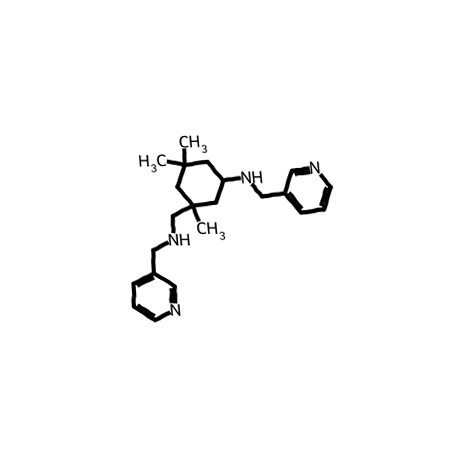 CC1(C)CC(NCc2cccnc2)CC(C)(CNCc2cccnc2)C1